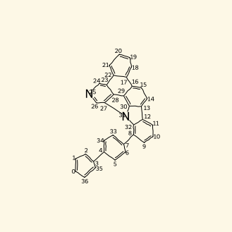 c1ccc(-c2ccc(-c3cccc4c5ccc6c7ccccc7c7cncc8c7c6c5n8c34)cc2)cc1